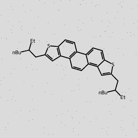 CCCCC(CC)Cc1cc2c(ccc3c2ccc2c4cc(CC(CC)CCCC)sc4ccc23)s1